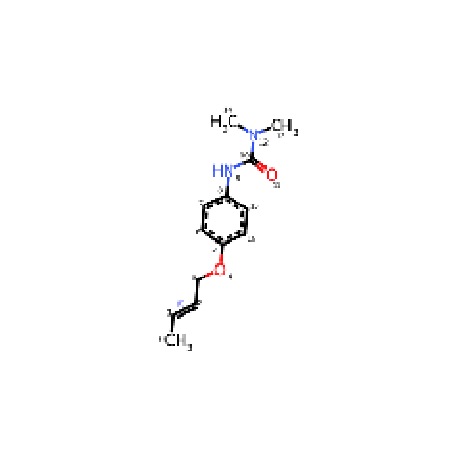 C/C=C/COc1ccc(NC(=O)N(C)C)cc1